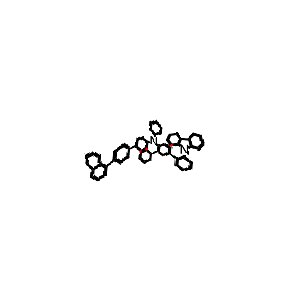 c1ccc(-c2cc(-c3ccccc3-n3c4ccccc4c4ccccc43)ccc2N(c2ccccc2)c2ccc(-c3ccc(-c4cccc5ccccc45)cc3)cc2)cc1